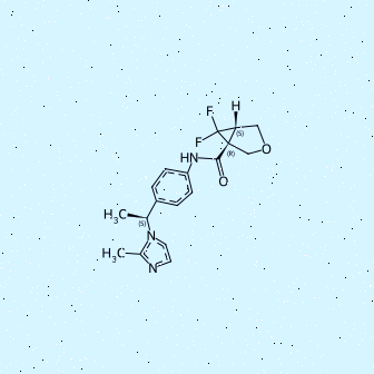 Cc1nccn1[C@@H](C)c1ccc(NC(=O)[C@]23COC[C@H]2C3(F)F)cc1